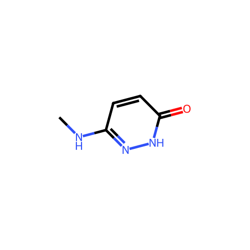 CNc1ccc(=O)[nH]n1